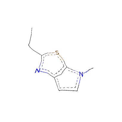 CCc1nc2ccn(C)c2s1